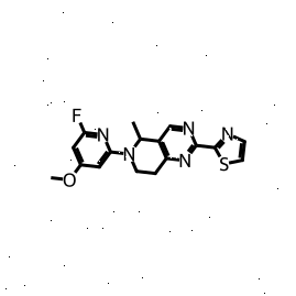 COc1cc(F)nc(N2CCc3nc(-c4nccs4)ncc3C2C)c1